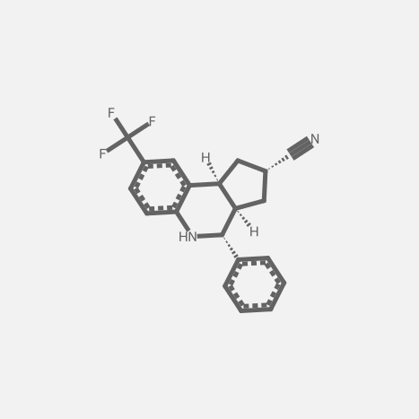 N#C[C@@H]1C[C@@H]2[C@H](C1)c1cc(C(F)(F)F)ccc1N[C@H]2c1ccccc1